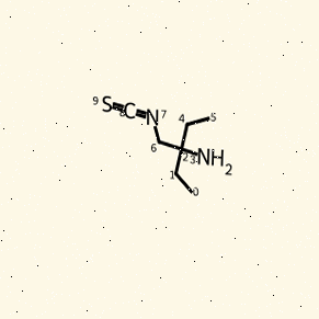 CCC(N)(CC)CN=C=S